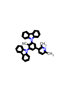 Cc1ccc(-c2cc(-n3c4ccccc4c4ccccc43)c(C#N)c(-n3c4ccccc4c4ccccc43)c2)c(C)n1